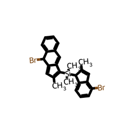 CC1=Cc2c(Br)cccc2C1[Si](C)(C)C1=C(C)C=C2C1=Cc1ccccc1C2Br